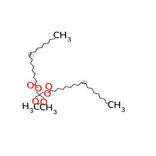 CCCCCCCC/C=C\CCCCCCCC(=O)OCC1(COC(=O)CCCCCCC/C=C\CCCCCCCC)COC(C)(C)OC1